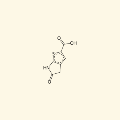 O=C1Cc2cc(C(=O)O)sc2N1